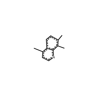 Cc1ccc2c(C)ccnc2c1C